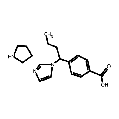 C1CCNC1.CCCC(c1ccc(C(=O)O)cc1)n1ccnc1